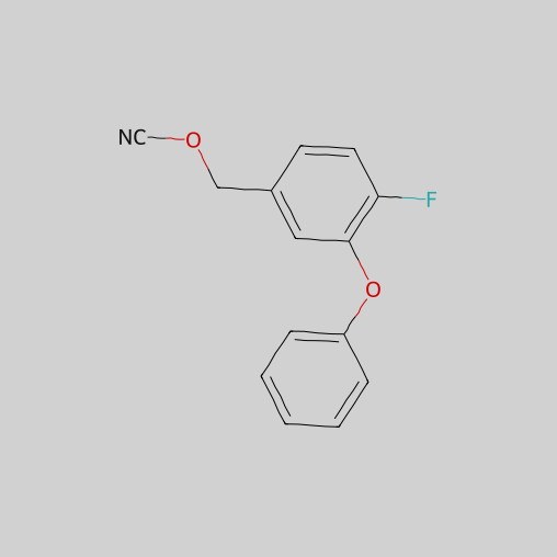 N#COCc1ccc(F)c(Oc2ccccc2)c1